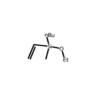 C=C[Si](C)(CCCC)OCC